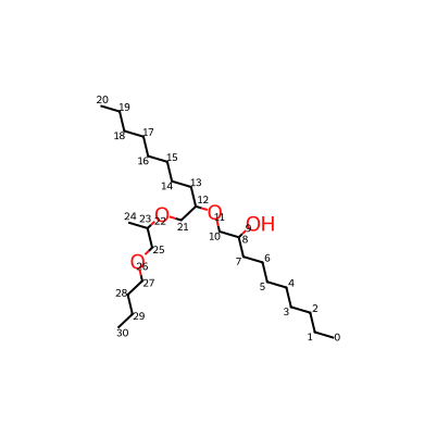 CCCCCCCCC(O)COC(CCCCCCCC)COC(C)COCCCC